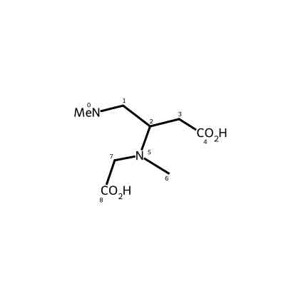 CNCC(CC(=O)O)N(C)CC(=O)O